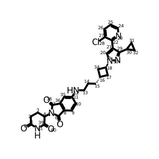 O=C1CCC(N2C(=O)c3ccc(NCCC[C@H]4C[C@H](n5cc(-c6ncccc6Cl)c(C6CC6)n5)C4)cc3C2=O)C(=O)N1